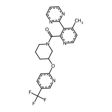 Cc1ccnc(C(=O)N2CCCC(Oc3ccc(C(F)(F)F)cn3)C2)c1-c1ncccn1